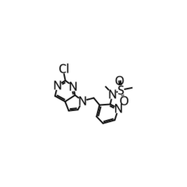 CN(c1ncccc1Cn1ccc2cnc(Cl)nc21)S(C)(=O)=O